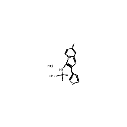 CCCCCCC(C)(C)Nc1c(-c2ccoc2)nc2cc(C)ccn12.Cl